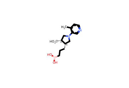 Cc1ccncc1N1C[C@H](CCCB(O)O)[C@H](C(=O)O)C1